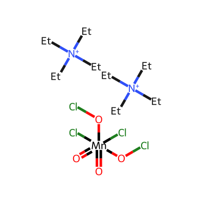 CC[N+](CC)(CC)CC.CC[N+](CC)(CC)CC.[O]=[Mn](=[O])([Cl])([Cl])([O]Cl)[O]Cl